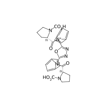 O=C(O)N1CCC[C@H]1C(=O)[N+]1(c2nnc([N+]3(C(=O)[C@@H]4CCCN4C(=O)O)C4=CC=C3C=C4)o2)C2=CC=C1C=C2